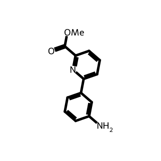 COC(=O)c1cccc(-c2cccc(N)c2)n1